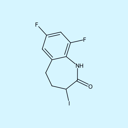 O=C1Nc2c(F)cc(F)cc2CCC1I